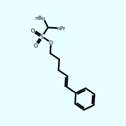 CCCCC(CCC)S(=O)(=O)OCCCC=Cc1ccccc1